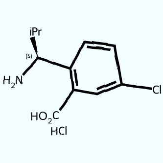 CC(C)[C@H](N)c1ccc(Cl)cc1C(=O)O.Cl